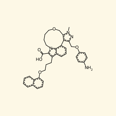 Cn1nc(COc2ccc(N)cc2)c2c1COCCCCn1c(C(=O)O)c(CCCOc3cccc4ccccc34)c3cccc-2c31